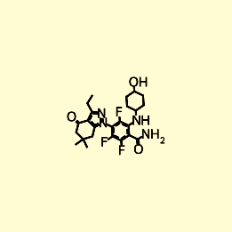 CCc1nn(-c2c(F)c(F)c(C(N)=O)c(NC3CCC(O)CC3)c2F)c2c1C(=O)CC(C)(C)C2